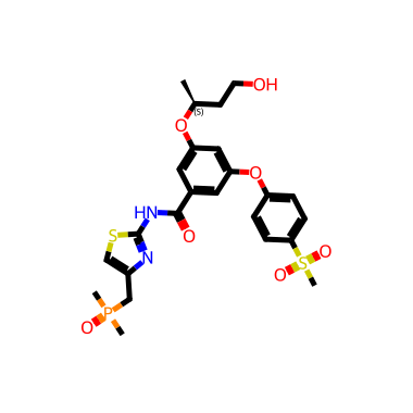 C[C@@H](CCO)Oc1cc(Oc2ccc(S(C)(=O)=O)cc2)cc(C(=O)Nc2nc(CP(C)(C)=O)cs2)c1